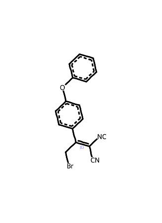 [C-]#[N+]/C(C#N)=C(/CBr)c1ccc(Oc2ccccc2)cc1